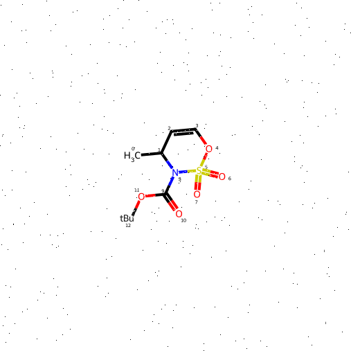 CC1C=COS(=O)(=O)N1C(=O)OC(C)(C)C